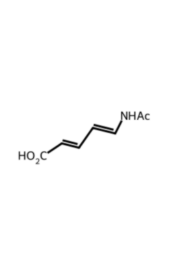 CC(=O)NC=CC=CC(=O)O